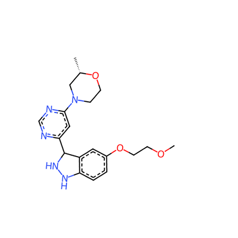 COCCOc1ccc2c(c1)C(c1cc(N3CCO[C@@H](C)C3)ncn1)NN2